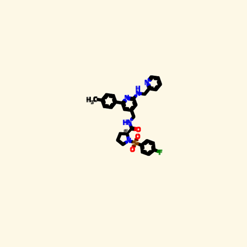 Cc1ccc(-c2cc(CNC(=O)[C@@H]3CCCN3S(=O)(=O)c3ccc(F)cc3)cc(NCc3ccccn3)n2)cc1